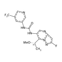 CO[C@@H](C)c1c(NC(=O)Nc2cncc(C(F)(F)F)c2)cnc2cc(F)nn12